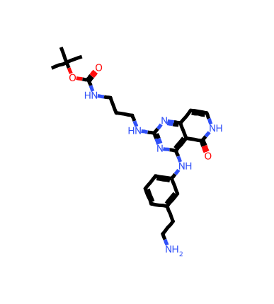 CC(C)(C)OC(=O)NCCCNc1nc(Nc2cccc(CCN)c2)c2c(=O)[nH]ccc2n1